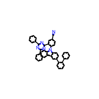 N#Cc1ccc(-n2c3ccccc3c3cc(-c4ccccc4-c4ccccc4)ccc32)c(-c2nc(-c3ccccc3)nc(-c3ccccc3)n2)c1